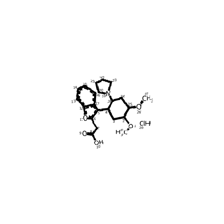 COC1CC(c2c(CC(=O)O)oc3ccccc23)C(N2CCCC2)CC1OC.Cl